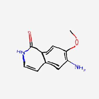 COc1cc2c(=O)[nH]ccc2cc1N